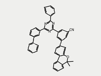 CC1(C)Oc2cc(-c3cc(C#N)cc(-c4nc(-c5ccccc5)nc(-c5cccc(-c6ccccc6)c5)n4)c3)ccc2-c2ccccc21